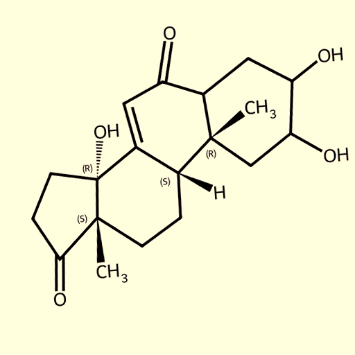 C[C@]12CC(O)C(O)CC1C(=O)C=C1[C@H]2CC[C@]2(C)C(=O)CC[C@@]12O